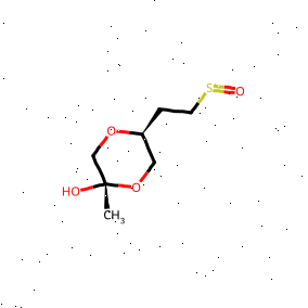 C[C@@]1(O)CO[C@@H](CC[S+]=O)CO1